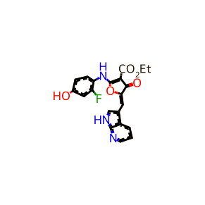 CCOC(=O)C1=C(Nc2ccc(O)cc2F)O/C(=C\c2c[nH]c3ncccc23)C1=O